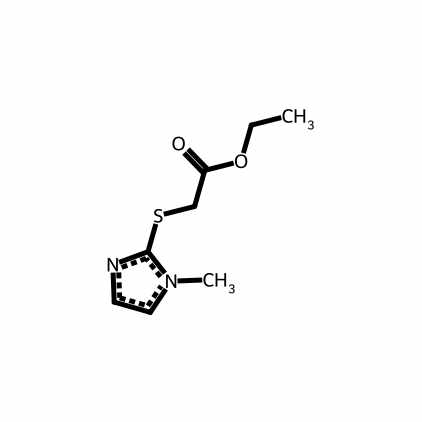 CCOC(=O)CSc1nccn1C